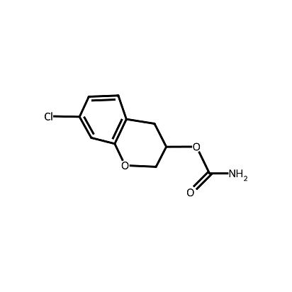 NC(=O)OC1COc2cc(Cl)ccc2C1